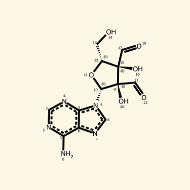 Nc1ncnc2c1ncn2[C@@H]1O[C@H](CO)[C@](O)(C=O)[C@]1(O)C=O